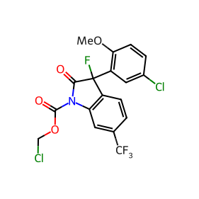 COc1ccc(Cl)cc1C1(F)C(=O)N(C(=O)OCCl)c2cc(C(F)(F)F)ccc21